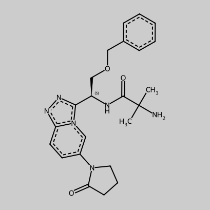 CC(C)(N)C(=O)N[C@H](COCc1ccccc1)c1nnc2ccc(N3CCCC3=O)cn12